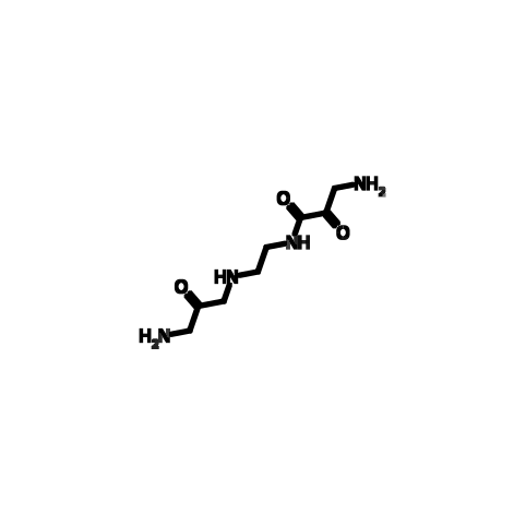 NCC(=O)CNCCNC(=O)C(=O)CN